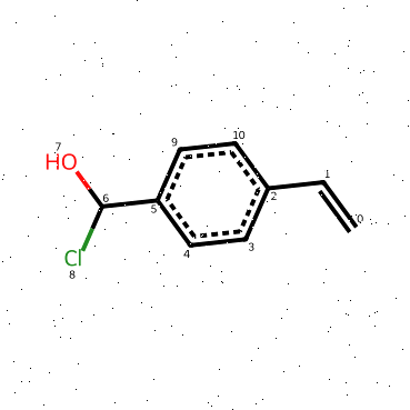 C=Cc1ccc(C(O)Cl)cc1